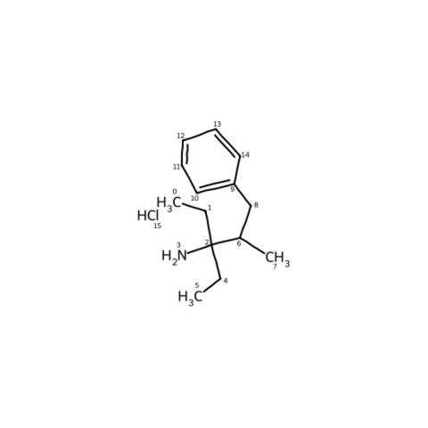 CCC(N)(CC)C(C)Cc1ccccc1.Cl